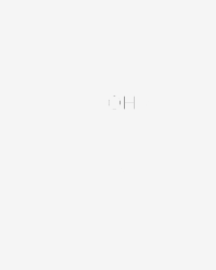 C=CCC(C=C(C)C(C)O)CC=C